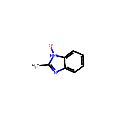 CC1=Nc2ccccc2[NH+]1[O-]